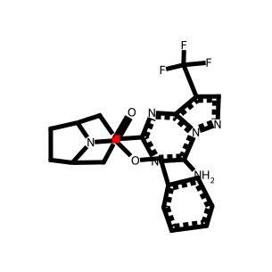 Nc1nc(N2CC3CCC(C2)N3C(=O)OCc2ccccc2)nc2c(C(F)(F)F)cnn12